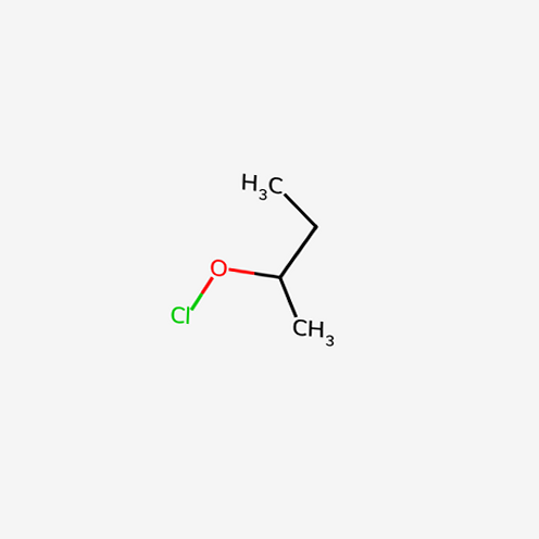 CCC(C)OCl